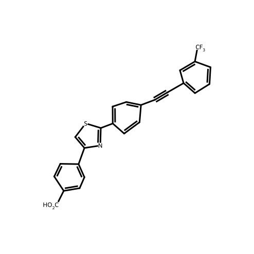 O=C(O)c1ccc(-c2csc(-c3ccc(C#Cc4cccc(C(F)(F)F)c4)cc3)n2)cc1